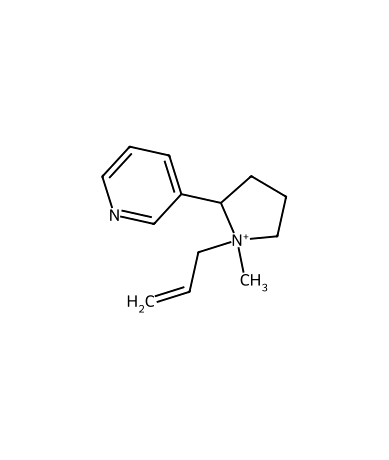 C=CC[N+]1(C)CCCC1c1cccnc1